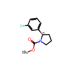 CC(C)(C)OC(=O)N1CCC[C@@H]1c1cccc(F)c1